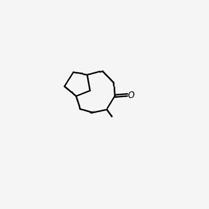 CC1CCC2CCC(CCC1=O)C2